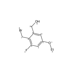 CCOc1cc(F)c(CBr)c(CO)c1